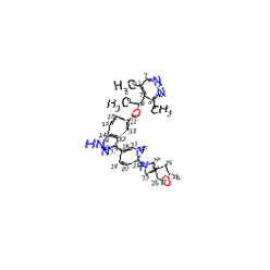 Cc1cnnc(C)c1C(C)Oc1ccc2[nH]nc(-c3ccc(N4CC5(CCOC5)C4)nc3)c2c1